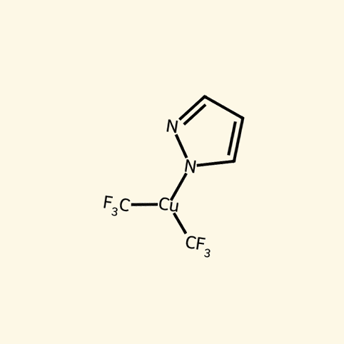 F[C](F)(F)[Cu]([n]1cccn1)[C](F)(F)F